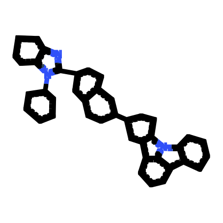 c1ccc(-n2c(-c3ccc4cc(-c5ccc6c(c5)c5cccc7c8ccccc8n6c75)ccc4c3)nc3ccccc32)cc1